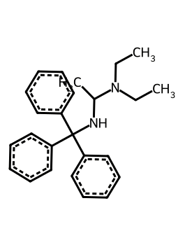 CCN(CC)C(C)NC(c1ccccc1)(c1ccccc1)c1ccccc1